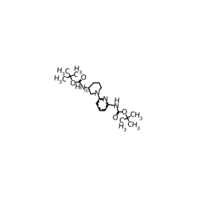 CC(C)(C)OC(=O)Nc1cccc(N2CCC[C@H](NC(=O)OC(C)(C)C)C2)n1